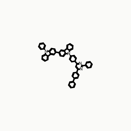 C1=CC(c2cc(-c3ccc(-c4ccccc4)cc3)nc(-c3ccccc3)n2)CC=C1n1c2ccccc2c2cc(-c3ccc4c(c3)c3ccccc3n4-c3ccccc3)ccc21